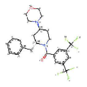 O=C(c1cc(C(F)(F)F)cc(C(F)(F)F)c1)N1CC[C@H](N2CCOCC2)C[C@H]1Cc1ccccc1